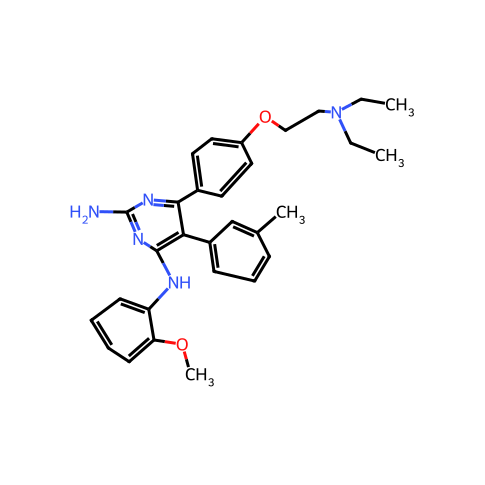 CCN(CC)CCOc1ccc(-c2nc(N)nc(Nc3ccccc3OC)c2-c2cccc(C)c2)cc1